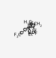 C=C1C=C(CCc2cccc(F)c2F)N(CC(=O)N(Cc2ccc(C3C=CC(C(F)(F)F)=CC3)cc2)C2CCN(CC)CC2)c2nc(C)sc21